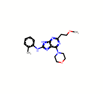 COCCc1nc(N2CCOCC2)c2nc(Nc3ccccc3C)[nH]c2n1